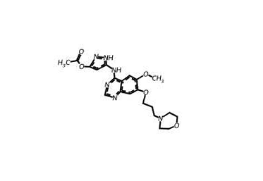 COc1cc2c(Nc3cc(OC(C)=O)n[nH]3)ncnc2cc1OCCCN1CCOCC1